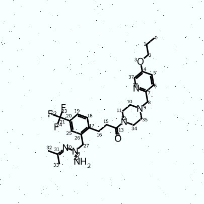 CCCOc1ccc(CN2CCN(C(=O)CCc3ccc(C(F)(F)F)cc3CN(N)N=C(C)C)CC2)nc1